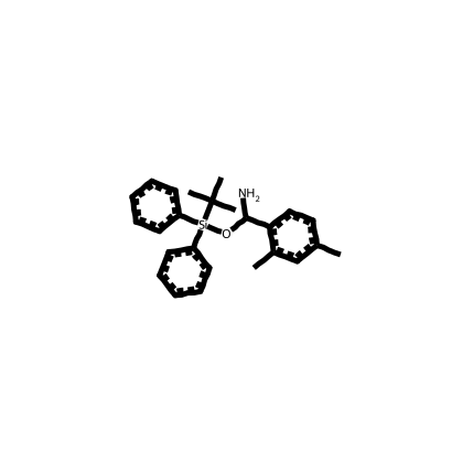 Cc1ccc(C(N)O[Si](c2ccccc2)(c2ccccc2)C(C)(C)C)c(C)c1